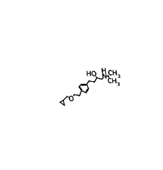 CC(C)NCC(O)CCc1ccc(CCOCC2CC2)cc1